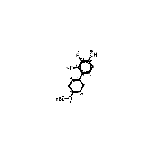 CCCCOC1CC=C(c2ccc(O)c(F)c2F)CC1